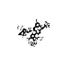 CC(C)(C#Cc1ccc(-c2ccc(Cl)c3c(NS(C)(=O)=O)nn(CC(F)(F)F)c23)c(C(Cc2cc(F)cc(F)c2)NC(=O)Cn2nc(C(F)(F)F)c3c2C(F)(F)C2CC32)n1)S(C)(=O)=O